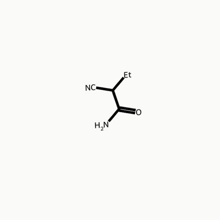 CCC(C#N)C(N)=O